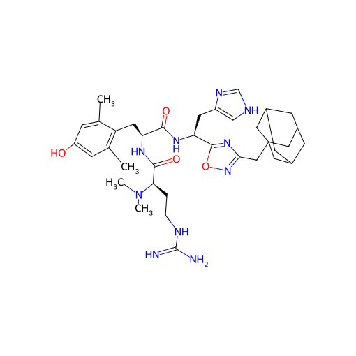 Cc1cc(O)cc(C)c1C[C@H](NC(=O)[C@@H](CCNC(=N)N)N(C)C)C(=O)N[C@@H](Cc1c[nH]cn1)c1nc(CC23CC4CC(CC(C4)C2)C3)no1